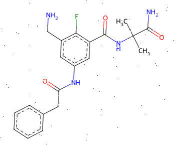 CC(C)(NC(=O)c1cc(NC(=O)Cc2ccccc2)cc(CN)c1F)C(N)=O